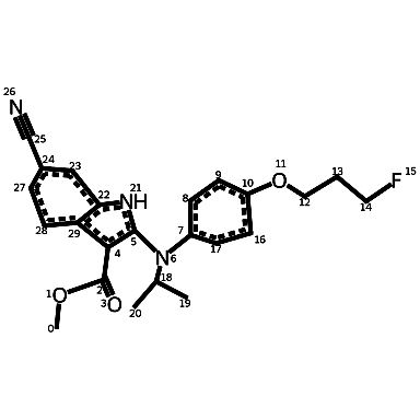 COC(=O)c1c(N(c2ccc(OCCCF)cc2)C(C)C)[nH]c2cc(C#N)ccc12